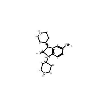 Nc1ccc2c(c1)C(=C1CCOCC1)C(=O)N2C1CCOCC1